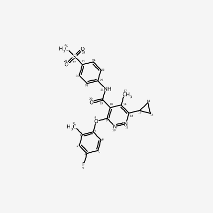 Cc1cc(F)ccc1Oc1nnc(C2CC2)c(C)c1C(=O)Nc1ccc(S(C)(=O)=O)cc1